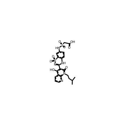 CC(C)CCn1c(=O)c(C2=NS(=O)(=O)c3cc(NS(=O)(=O)CC(=O)O)ccc3N2)c(O)c2cccnc21